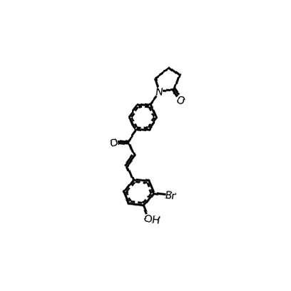 O=C(/C=C/c1ccc(O)c(Br)c1)c1ccc(N2CCCC2=O)cc1